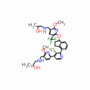 COc1nc(-c2ccnc(-c3cccc4c3CC[C@@H]4Oc3nc(OC)c(CNC[C@@H](C)O)cc3C(F)(F)F)c2Cl)ccc1CNC[C@@H](C)O